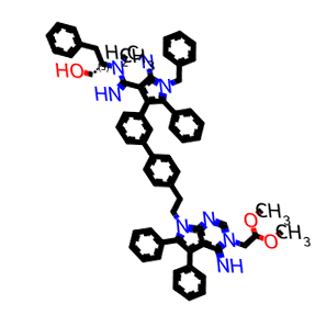 C=Nc1c(C(=N)N(C)[C@H](CO)Cc2ccccc2)c(-c2cccc(-c3ccc(CCn4c(-c5ccccc5)c(-c5ccccc5)c5c(=N)n(CC(OC)OC)cnc54)cc3)c2)c(-c2ccccc2)n1Cc1ccccc1